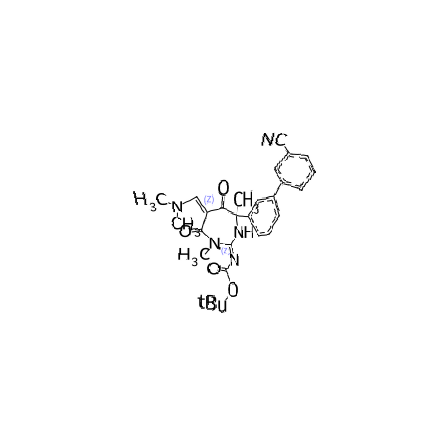 CN(C)/C=C1\C(=O)N(C)/C(=N\C(=O)OC(C)(C)C)NC(C)(c2cccc(-c3cccc(C#N)c3)c2)C1=O